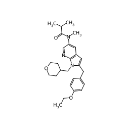 CCOc1ccc(Cc2cc3cc(N(C)C(=O)C(C)C)cnc3n2CC2CCOCC2)cc1